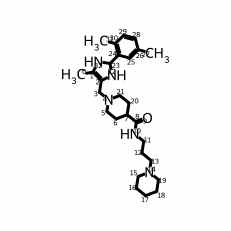 CC1=C(CN2CCC(C(=O)NCCCN3CCCCC3)CC2)NC(c2cc(C)ccc2C)N1